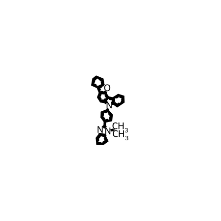 CC(C)n1c(-c2ccc(-n3c4ccccc4c4c5oc6ccccc6c5ccc43)cc2)nc2ccccc21